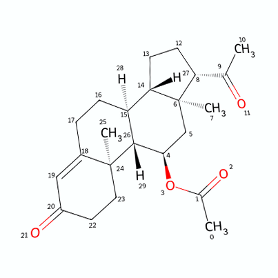 CC(=O)O[C@@H]1C[C@]2(C)[C@@H](C(C)=O)CC[C@H]2[C@@H]2CCC3=CC(=O)CC[C@]3(C)[C@H]21